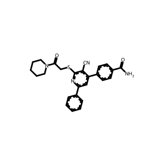 N#Cc1c(-c2ccc(C(N)=O)cc2)cc(-c2ccccc2)nc1SCC(=O)N1CCCCC1